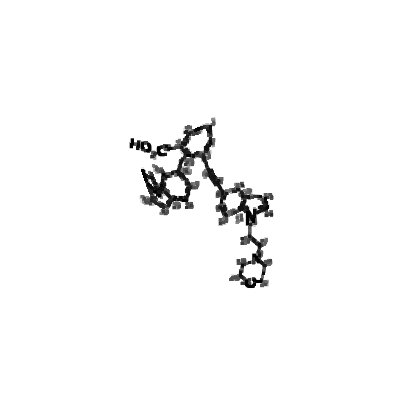 O=C(O)c1cccc(C#Cc2ccc3c(ccn3CCN3CCOCC3)c2)c1-c1ccc2cc[nH]c2c1